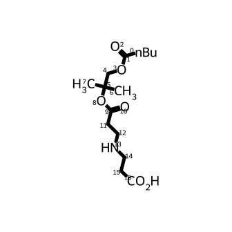 CCCCC(=O)OCC(C)(C)OC(=O)CCNCCC(=O)O